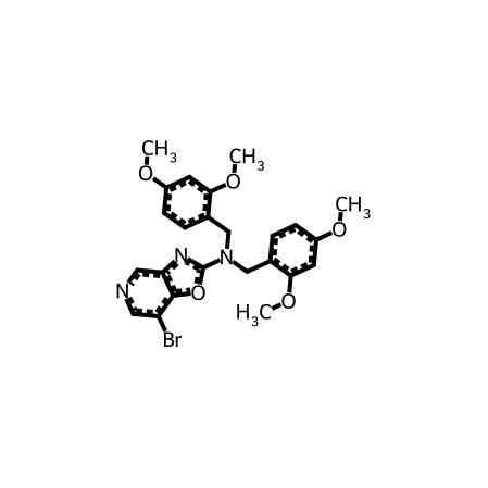 COc1ccc(CN(Cc2ccc(OC)cc2OC)c2nc3cncc(Br)c3o2)c(OC)c1